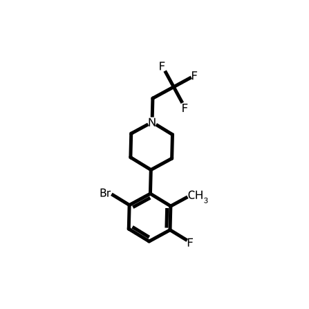 Cc1c(F)ccc(Br)c1C1CCN(CC(F)(F)F)CC1